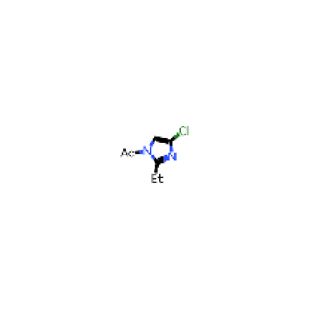 CCc1nc(Cl)cn1C(C)=O